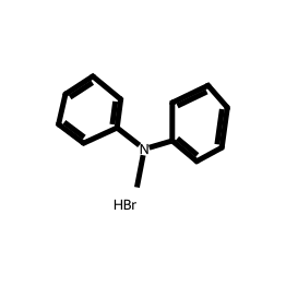 Br.CN(c1ccccc1)c1ccccc1